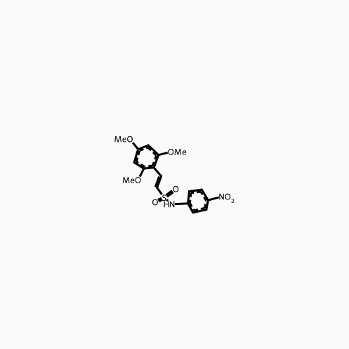 COc1cc(OC)c(C=CS(=O)(=O)Nc2ccc([N+](=O)[O-])cc2)c(OC)c1